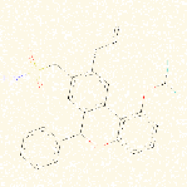 C=CCc1cc2c(cc1CS(N)(=O)=O)C(c1ccccc1)Oc1cccc(OC(F)F)c1-2